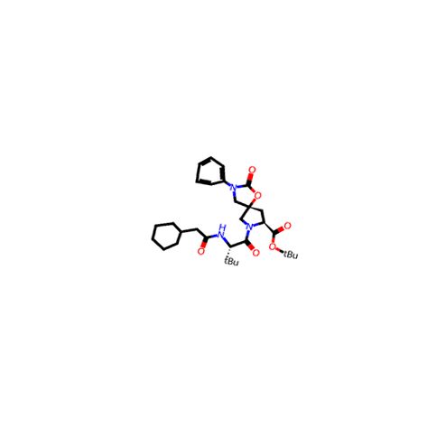 CC(C)(C)OC(=O)[C@@H]1C[C@]2(CN(c3ccccc3)C(=O)O2)CN1C(=O)[C@@H](NC(=O)CC1CCCCC1)C(C)(C)C